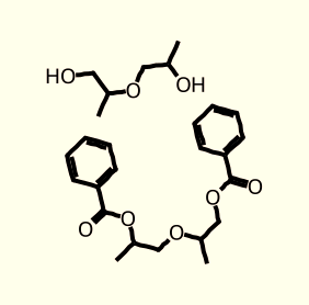 CC(COC(=O)c1ccccc1)OCC(C)OC(=O)c1ccccc1.CC(O)COC(C)CO